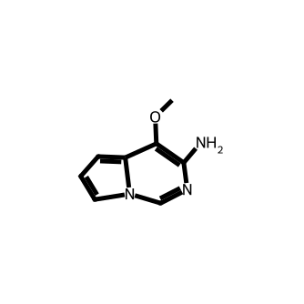 COc1c(N)ncn2cccc12